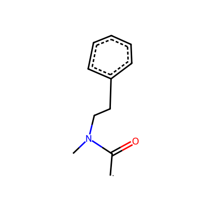 [CH2]C(=O)N(C)CCc1ccccc1